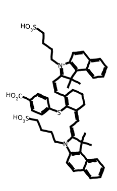 CC1(C)C(=CC=C2CCCC(C=CC3=[N+](CCCCS(=O)(=O)O)c4ccc5ccccc5c4C3(C)C)=C2Sc2ccc(C(=O)O)cc2)N(CCCCS(=O)(=O)O)c2ccc3ccccc3c21